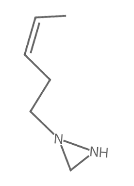 C/C=C\CCN1CN1